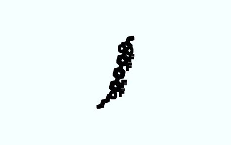 C=CC1COC(c2ccc(-c3ccc(-c4ccc(OCCCCC)c(F)c4F)cc3)c(F)c2F)OC1